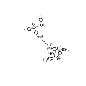 CCCCC1(CC)CS(=O)(=O)c2ccc(N(C)C)cc2C(c2cccc(NC(=O)CCCCCCCNCc3ccc(C4C(CCC(O)c5ccc(F)cc5)C(=O)N4c4ccc(F)cc4)cc3)c2)C1O